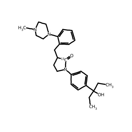 CCC(O)(CC)c1ccc(N2CCC(Cc3ccccc3N3CCN(C)CC3)[13C]2=O)cc1